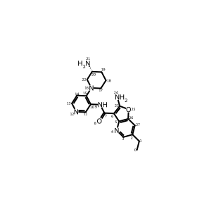 CCc1cnc2c(C(=O)Nc3cnccc3N3CCC[C@@H](N)C3)c(N)oc2c1